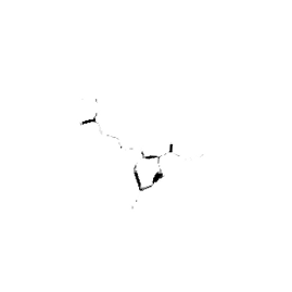 COC(=O)c1ccc(Br)cc1SCCNC(=O)OC(C)(C)C